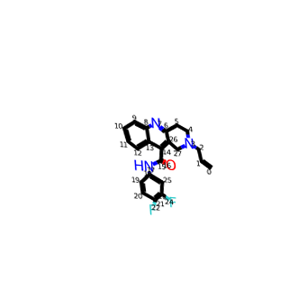 C=CCN1CCc2nc3ccccc3c(C(=O)Nc3ccc(F)c(F)c3)c2C1